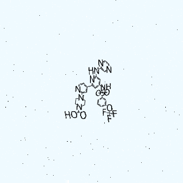 O=C(O)N1CCN(c2cc(-c3cc(NS(=O)(=O)c4cccc(OC(F)(F)F)c4)cc(Nc4cnccn4)n3)ccn2)CC1